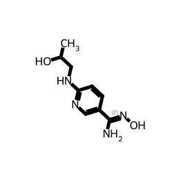 CC(O)CNc1ccc(/C(N)=N/O)cn1